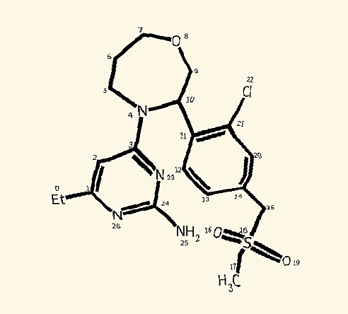 CCc1cc(N2CCCOCC2c2ccc(CS(C)(=O)=O)cc2Cl)nc(N)n1